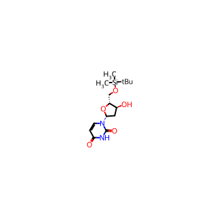 CC(C)(C)[Si](C)(C)OC[C@H]1O[C@@H](n2ccc(=O)[nH]c2=O)C[C@@H]1O